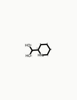 OC(O)C1CCCCN1